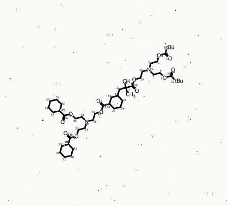 CC(C)(C)C(=O)OCCN(CCOC(=O)C(C)(C)C)CCOC(=O)C(C)(C)CC1CCCC(C(=O)OCCN(CCOC(=O)C2CCCCC2)CCOC(=O)C2CCCCC2)C1